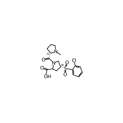 CN1CCC[C@H]1C(=O)N1C[C@H](S(=O)(=O)c2ccccc2Cl)CC1C(=O)O